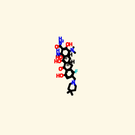 CN(C)[C@@H]1C(O)=C(C(N)=O)C(=N)[C@@]2(O)C(O)=C3C(=O)c4c(O)cc(CN5CCC(C)(C)CC5)c(F)c4C[C@H]3C[C@@H]12